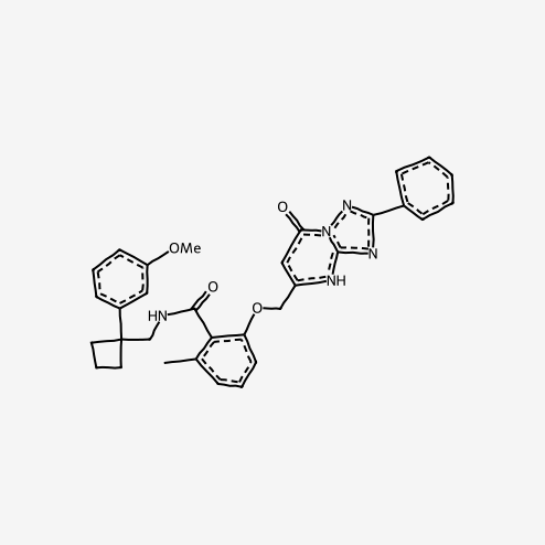 COc1cccc(C2(CNC(=O)c3c(C)cccc3OCc3cc(=O)n4nc(-c5ccccc5)nc4[nH]3)CCC2)c1